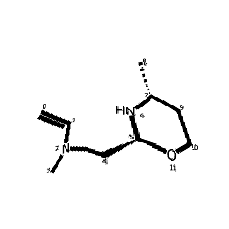 C=CN(C)C[C@H]1N[C@H](C)CCO1